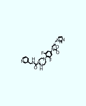 O=C(NCc1cccnc1)N1CCN(c2c(F)cc(N3C[C@H](Cn4ccnn4)OC3=O)cc2F)CCN1